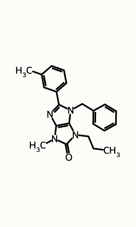 CCCn1c(=O)n(C)c2nc(-c3cccc(C)c3)n(Cc3ccccc3)c21